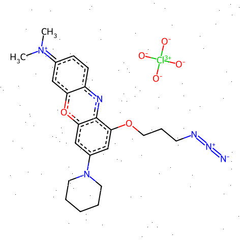 C[N+](C)=c1ccc2nc3c(OCCCN=[N+]=[N-])cc(N4CCCCC4)cc3oc-2c1.[O-][Cl+3]([O-])([O-])[O-]